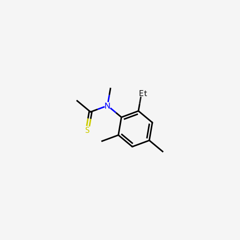 CCc1cc(C)cc(C)c1N(C)C(C)=S